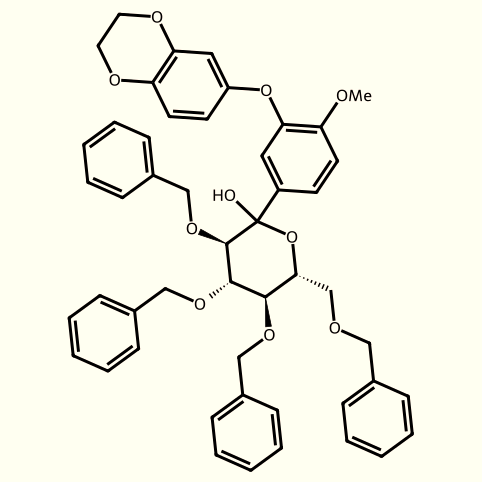 COc1ccc(C2(O)O[C@H](COCc3ccccc3)[C@@H](OCc3ccccc3)[C@H](OCc3ccccc3)[C@H]2OCc2ccccc2)cc1Oc1ccc2c(c1)OCCO2